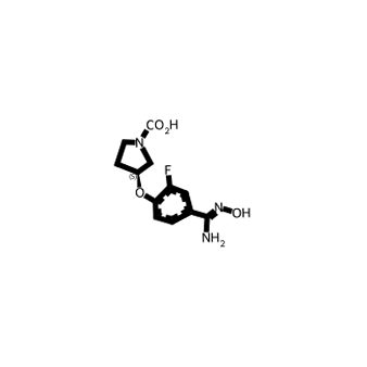 NC(=NO)c1ccc(O[C@H]2CCN(C(=O)O)C2)c(F)c1